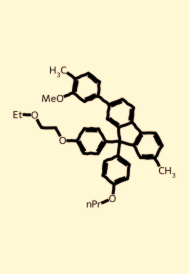 CCCOc1ccc(C2(c3ccc(OCCOCC)cc3)c3cc(C)ccc3-c3ccc(-c4ccc(C)c(OC)c4)cc32)cc1